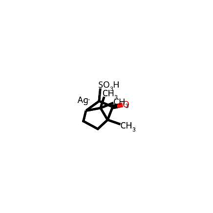 CC12CCC(C(S(=O)(=O)O)C1=O)C2(C)C.[Ag]